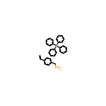 C=Cc1ccc(C[PH3+])cc1.c1ccc([B-](c2ccccc2)(c2ccccc2)c2ccccc2)cc1